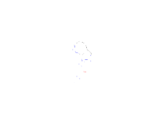 NC(=O)Nn1ncc2cccnc21